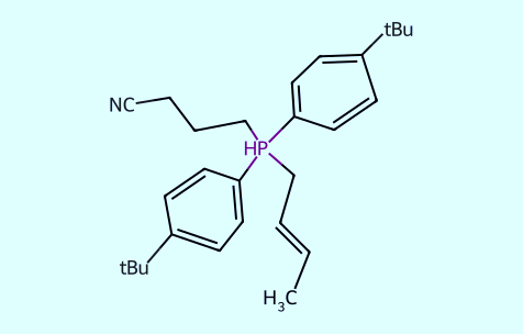 CC=CC[PH](CCCC#N)(c1ccc(C(C)(C)C)cc1)c1ccc(C(C)(C)C)cc1